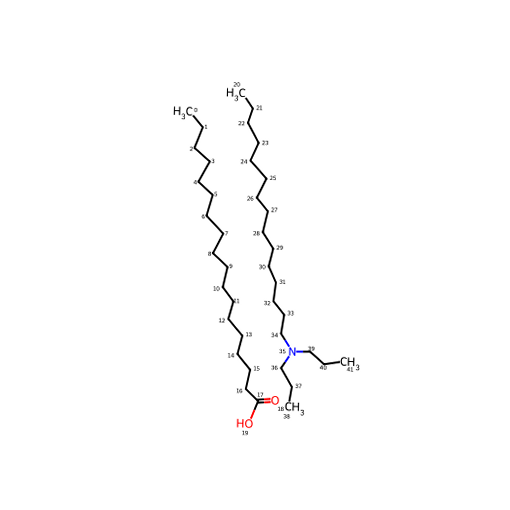 CCCCCCCCCCCCCCCCCC(=O)O.CCCCCCCCCCCCCCCN(CCC)CCC